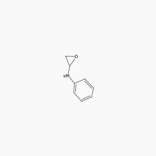 c1ccc(NC2CO2)cc1